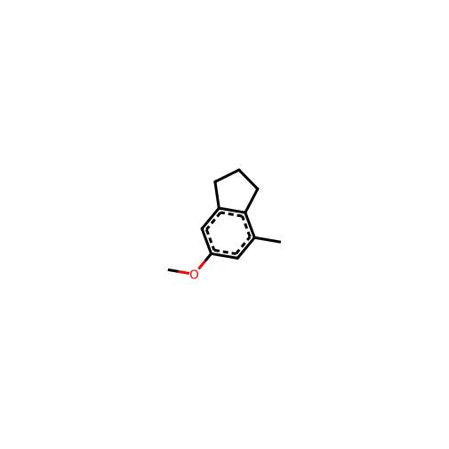 COc1cc(C)c2c(c1)CCC2